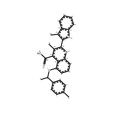 Cc1ccc(C(C)Oc2cccc3nc(-c4sc5ccccc5c4C)c(C)c(C(=O)O)c23)cc1